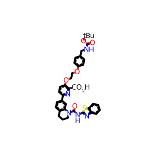 CC(C)(C)OC(=O)NCc1ccc(OCCOc2ccc(-c3ccc4c(c3)N(C(=O)Nc3nc5ccccc5s3)CCC4)nc2C(=O)O)cc1